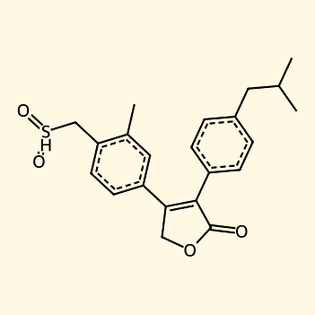 Cc1cc(C2=C(c3ccc(CC(C)C)cc3)C(=O)OC2)ccc1C[SH](=O)=O